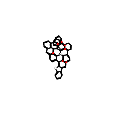 C1=CC(c2ccccc2N(c2ccccc2-c2cccc3c2oc2ccccc23)c2ccccc2-c2cccc3cccc(-c4ccccc4)c23)=C2Oc3ccccc3C2C1